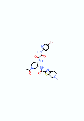 CC(=O)N1CC[C@H](NC(=O)C(=O)Nc2ccc(Br)cn2)[C@H](NC(=O)c2nc3c(s2)CN(C)CC3)C1